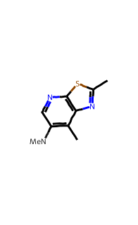 CNc1cnc2sc(C)nc2c1C